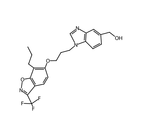 CCCc1c(OCCCn2cnc3cc(CO)ccc32)ccc2c(C(F)(F)F)noc12